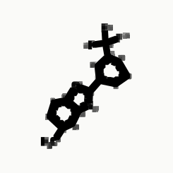 Cc1ccc2oc(-c3cccc(C(F)(F)F)c3)nc2c1